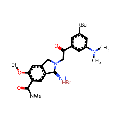 Br.CCOc1cc2c(cc1C(=O)NC)C(=N)N(CC(=O)c1cc(N(C)C)cc(C(C)(C)C)c1)C2